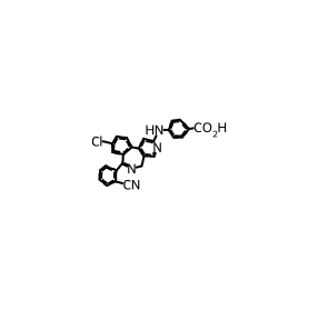 N#Cc1ccccc1C1=NCc2cnc(Nc3ccc(C(=O)O)cc3)cc2-c2ccc(Cl)cc21